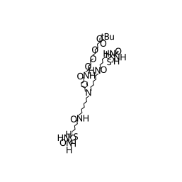 CC(C)(C)OC(=O)CCOCCOCCOCCNC(=O)c1ccc(CN(CCCCCCCCNC(=O)CCCC[C@@H]2SC[C@@H]3NC(=O)N[C@@H]32)CCCCCCCNC(=O)CCCC[C@@H]2SC[C@@H]3NC(=O)N[C@@H]32)cc1